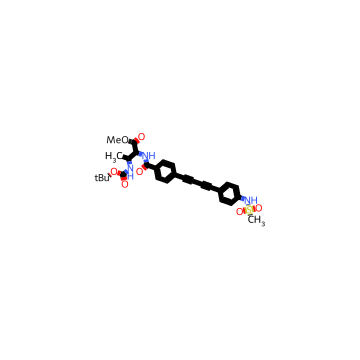 COC(=O)C(NC(=O)c1ccc(C#CC#Cc2ccc(NS(C)(=O)=O)cc2)cc1)C(C)NC(=O)OC(C)(C)C